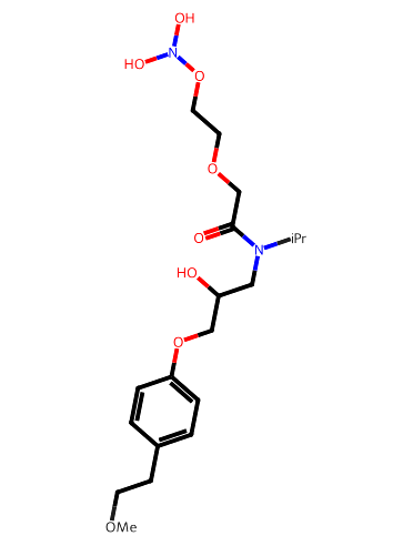 COCCc1ccc(OCC(O)CN(C(=O)COCCON(O)O)C(C)C)cc1